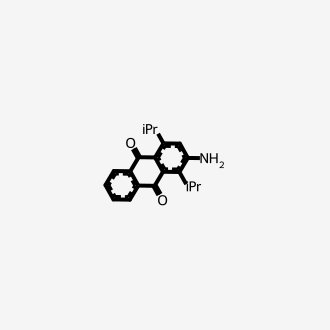 CC(C)c1cc(N)c(C(C)C)c2c1C(=O)c1ccccc1C2=O